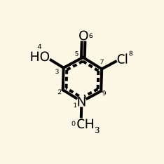 Cn1cc(O)c(=O)c(Cl)c1